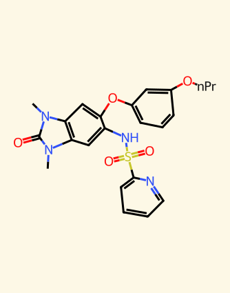 CCCOc1cccc(Oc2cc3c(cc2NS(=O)(=O)c2ccccn2)n(C)c(=O)n3C)c1